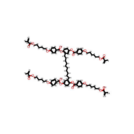 C=C(C)C(=O)OCCCCCCOc1ccc(C(=O)Oc2ccc(OC(=O)c3ccc(OCCCCCCOC(=O)C(=C)C)cc3)c(CCCCCCCCCCc3cc(OC(=O)c4ccc(OCCCCCCOC(=O)C(=C)C)cc4)ccc3OC(=O)c3ccc(OCCCCCCOC(=O)C(=C)C)cc3)c2)cc1